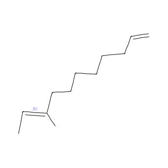 C=CCCCCCC/C(C)=C/C